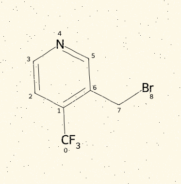 FC(F)(F)c1ccncc1CBr